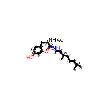 CC(=O)N[C@@H](Cc1ccc(O)cc1)C(=O)NC/C=C(\C)CCC=C(C)C